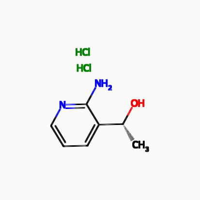 C[C@@H](O)c1cccnc1N.Cl.Cl